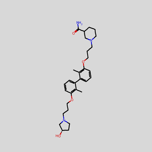 Cc1c(OCCCN2CCCC(C(N)=O)C2)cccc1-c1cccc(OCCCN2CC[C@@H](O)C2)c1C